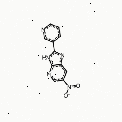 O=[N+]([O-])c1cnc2[nH]c(-c3cccnc3)nc2c1